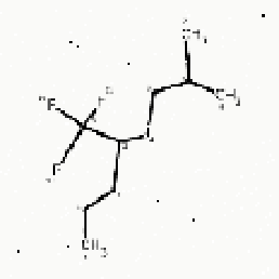 CCCC(CCC(C)C)C(F)(F)F